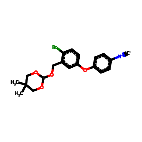 [C-]#[N+]c1ccc(Oc2ccc(Br)c(COB3OCC(C)(C)CO3)c2)cc1